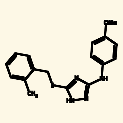 COc1ccc(Nc2n[nH]c(SCc3ccccc3C)n2)cc1